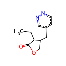 CCC1C(=O)OCC1Cc1ccnnc1